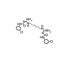 NC(=NC(=O)Nc1cccc(Cl)c1)NCCCCCCNC(N)=NC(=O)Nc1cccc(Cl)c1